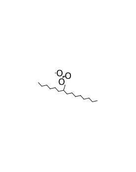 CCCCCCCCC(CCCCCC)COC([O])=O